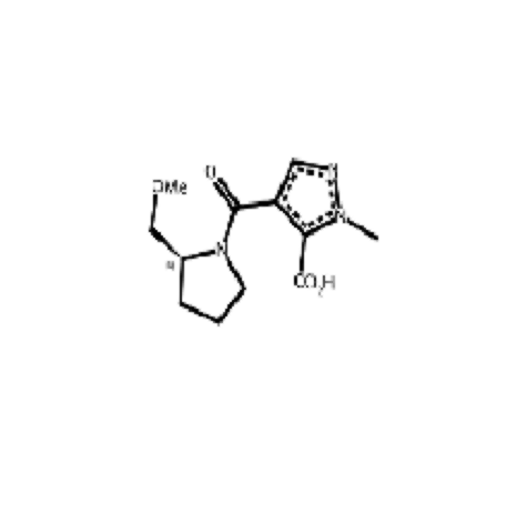 COC[C@@H]1CCCN1C(=O)c1cnn(C)c1C(=O)O